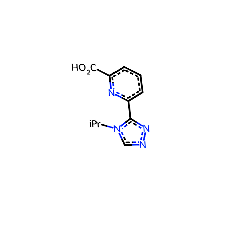 CC(C)n1cnnc1-c1cccc(C(=O)O)n1